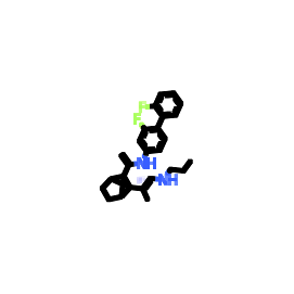 C=C(Nc1ccc(-c2ccccc2F)c(F)c1)C1=C(/C(C)=C/NCCC)C2CCC1C2